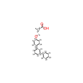 O=C(O)[C@@H]1C[C@H]1COc1ccc(-c2cccc(-c3ccccc3)c2)cc1